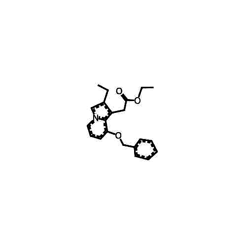 CCOC(=O)Cc1c(CC)cn2cccc(OCc3ccccc3)c12